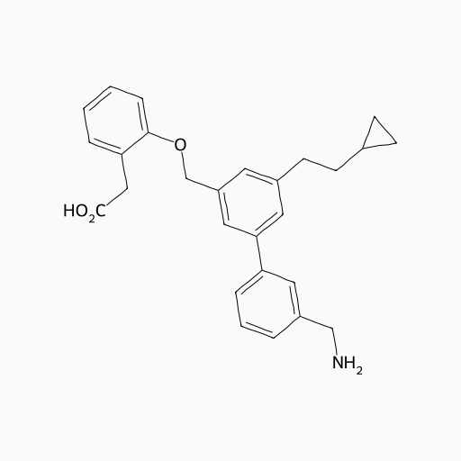 NCc1cccc(-c2cc(CCC3CC3)cc(COc3ccccc3CC(=O)O)c2)c1